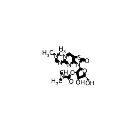 CN(C)/C=N\c1ncc2sc(=O)n([C@@H]3O[C@H](CO)[C@H](O)[C@H]3OC(=O)N(C)C)c2n1